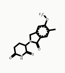 Cc1cc2c(cc1OC(F)(F)F)CN(C1CCC(=O)NC1=O)C2=O